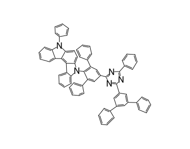 c1ccc(-c2cc(-c3ccccc3)cc(-c3nc(-c4ccccc4)nc(-c4cc(-c5ccccc5)c(-n5c6ccccc6c6c7c8ccccc8n(-c8ccccc8)c7ccc65)c(-c5ccccc5)c4)n3)c2)cc1